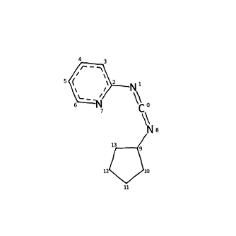 C(=Nc1ccccn1)=NC1CCCC1